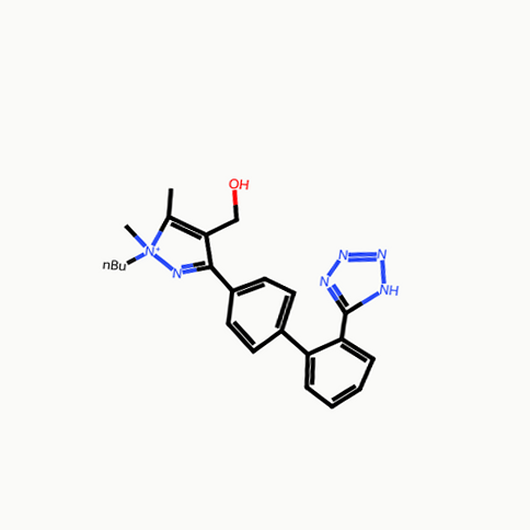 CCCC[N+]1(C)N=C(c2ccc(-c3ccccc3-c3nnn[nH]3)cc2)C(CO)=C1C